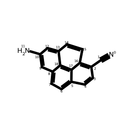 N#Cc1ccc2ccc3cc(N)cc4ccc1c2c34